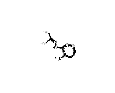 CCCC(CCC)=NNc1nnccc1N